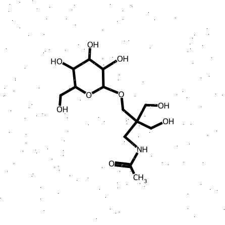 CC(=O)NCC(CO)(CO)COC1OC(CO)C(O)C(O)C1O